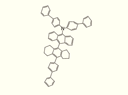 c1ccc(-c2ccc(-c3c4c(c(-c5c6ccccc6c(N(c6ccc(-c7ccccc7)cc6)c6ccc(-c7ccccc7)cc6)c6ccccc56)c5c3CCCC5)CCCC4)cc2)cc1